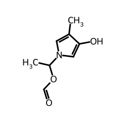 Cc1cn(C(C)OC=O)cc1O